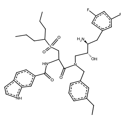 CCCC(CCC)S(=O)(=O)CC(NC(=O)c1ccc2cc[nH]c2c1)C(=O)N(Cc1cccc(CC)c1)C[C@@H](O)[C@@H](N)Cc1cc(F)cc(F)c1